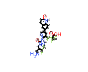 CN1C(=O)CCc2cc(-c3cnc(-n4cnn(CC(CN)=C(F)F)c4=O)c(F)c3)ccc21.O=C(O)C(F)(F)F